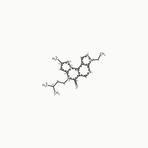 CCn1ncc2c1ncc1c(=O)n(CCC(C)C)c3cc(C)nn3c12